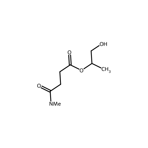 CNC(=O)CCC(=O)OC(C)CO